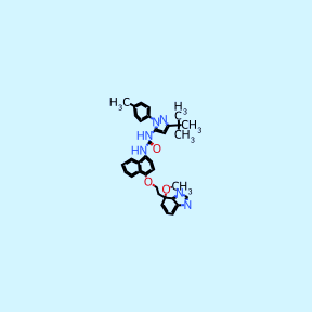 COC1(CCOc2ccc(NC(=O)Nc3cc(C(C)(C)C)nn3-c3ccc(C)cc3)c3ccccc23)C=CC=C2N=CN=C21